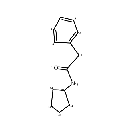 O=C(Cc1ccccc1)[N]C1CCCC1